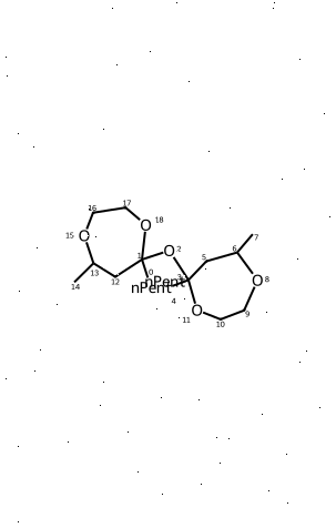 CCCCCC1(OC2(CCCCC)CC(C)OCCO2)CC(C)OCCO1